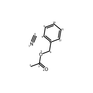 C#N.CC(=O)OCc1ccccc1